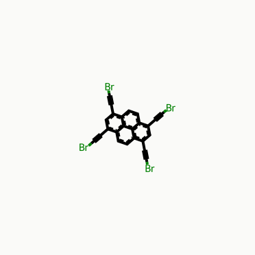 BrC#Cc1cc(C#CBr)c2ccc3c(C#CBr)cc(C#CBr)c4ccc1c2c43